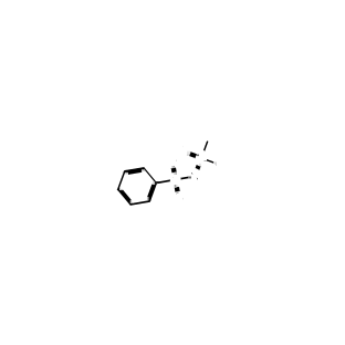 CS(=O)(Cl)=NS(=O)(=O)c1ccccc1